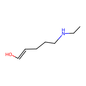 CCNCCCC=CO